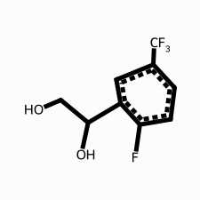 OCC(O)c1cc(C(F)(F)F)ccc1F